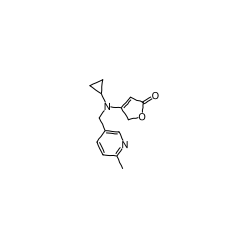 Cc1ccc(CN(C2=CC(=O)OC2)C2CC2)cn1